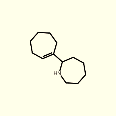 C1=C(C2CCCCCN2)CCCCC1